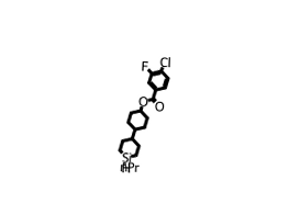 CCC[SiH]1CCC(C2CCC(OC(=O)c3ccc(Cl)c(F)c3)CC2)CC1